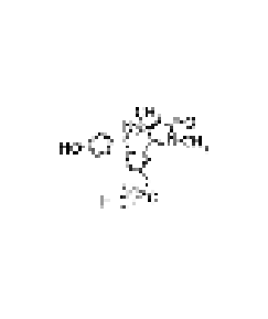 CCS(=O)(=O)Cc1ccc2c(c1)C1=CN(C)C(C=O)C=C1[C@H](C)N=C2c1ccc(O)cc1